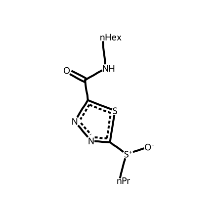 CCCCCCNC(=O)c1nnc([S+]([O-])CCC)s1